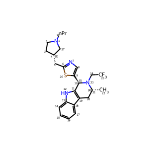 CCCN1CC[C@@H](Cc2ncc([C@@H]3c4[nH]c5ccccc5c4C[C@@H](C)N3CC(F)(F)F)s2)C1